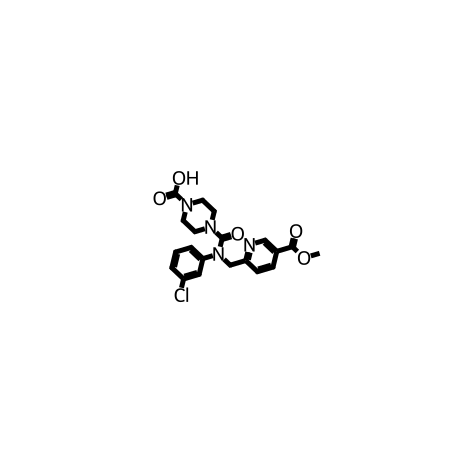 COC(=O)c1ccc(CN(C(=O)N2CCN(C(=O)O)CC2)c2cccc(Cl)c2)nc1